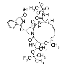 CC(C)Oc1cc2ccccc2c(O[C@@H]2C[C@H]3C(=O)N[C@]4(C(=O)NS(=O)(=O)C5(C)CC5)C[C@H]4/C=C\CC[C@H](C)C[C@@H](C)[C@H](NC(=O)OC(C)(C)C(F)(F)F)C(=O)N3C2)n1